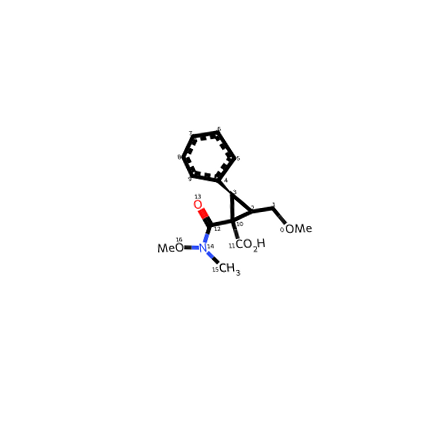 COCC1[C@H](c2ccccc2)C1(C(=O)O)C(=O)N(C)OC